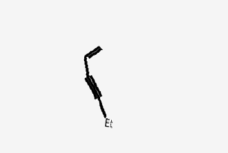 [CH2]CC#CC=C